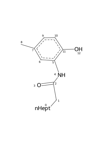 CCCCCCCCC(=O)Nc1cc(C)ccc1O